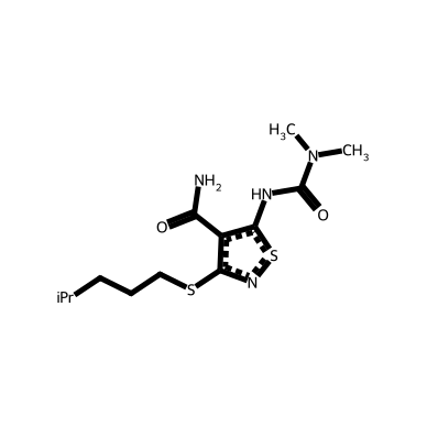 CC(C)CCCSc1nsc(NC(=O)N(C)C)c1C(N)=O